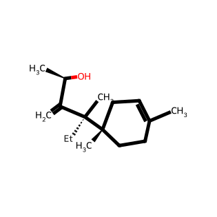 C=C([C@@H](C)O)[C@](C)(CC)[C@]1(C)CC=C(C)CC1